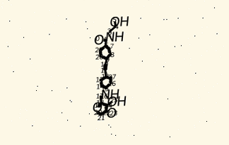 O=C(NCCO)c1ccc(C#Cc2ccc(NCc3occc(=O)c3O)cc2)cc1